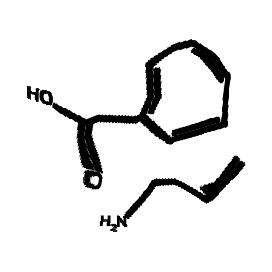 C=CCN.O=C(O)c1ccccc1